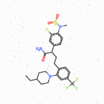 CCC1CCN(c2cc(C(F)(F)F)ccc2CCC(C(N)=O)c2ccc(N(C)[SH](=O)=O)c(F)c2)CC1